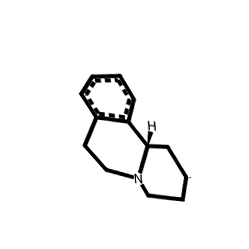 [CH]1CCN2CCc3ccccc3[C@@H]2C1